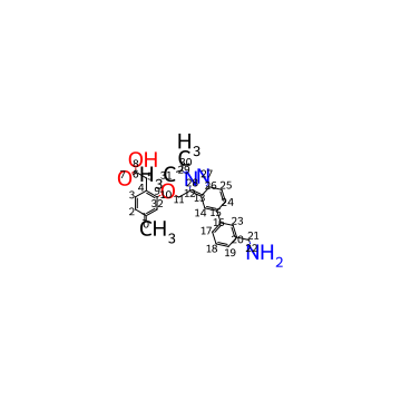 Cc1ccc(CC(=O)O)c(OCc2c3cc(-c4cccc(CN)c4)ccc3nn2C(C)C)c1